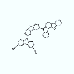 N#Cc1ccc2c(c1)c1cc(C#N)ccc1n2-c1ccc2sc3ccc(-n4c5ccccc5c5c6oc7ccccc7c6ccc54)cc3c2c1